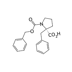 O=C(OCc1ccccc1)N1CCC[C@]1(Cc1ccccc1)C(=O)O